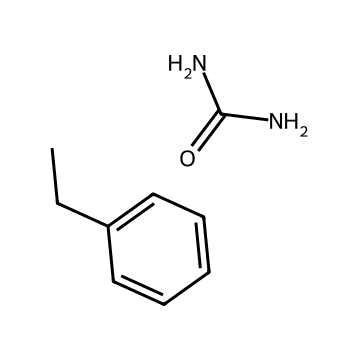 CCc1ccccc1.NC(N)=O